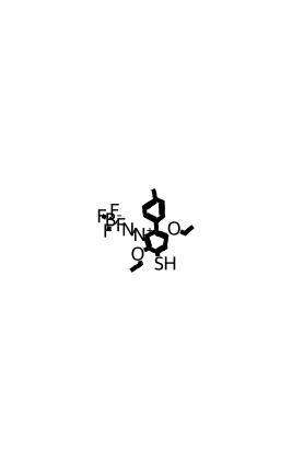 CCOc1cc(S)c(OCC)c([N+]#N)c1-c1ccc(C)cc1.F[B-](F)(F)F